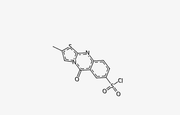 Cc1cn2c(=O)c3cc(S(=O)(=O)Cl)ccc3nc2s1